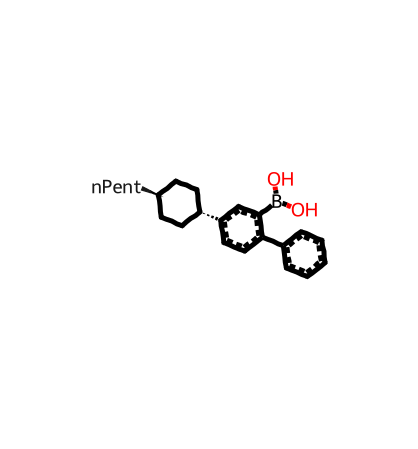 CCCCC[C@H]1CC[C@H](c2ccc(-c3ccccc3)c(B(O)O)c2)CC1